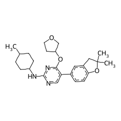 CC1CCC(Nc2ncc(-c3ccc4c(c3)CC(C)(C)O4)c(OC3CCOC3)n2)CC1